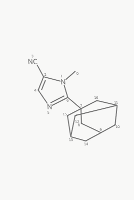 Cn1c(C#N)cnc1C12CC3CC(CC(C3)C1)C2